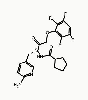 Nc1ccc(C[C@@H](NC(=O)C2CCCC2)C(=O)COc2c(F)c(F)cc(F)c2F)cn1